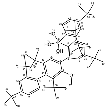 COc1c(-c2cc(C(C)(C)C)cc(C(C)(C)C)c2P(O)(O)(O)c2ccc(C(C)(C)C)cc2C(C)(C)C)cc(C(C)(C)C)c(-c2ccc(C(C)(C)C)cc2C(C)(C)C)c1C(C)(C)C